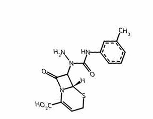 Cc1cccc(NC(=O)N(N)C2C(=O)N3C(C(=O)O)=CCS[C@@H]23)c1